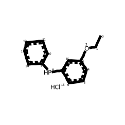 CCOc1cccc(Pc2ccccc2)c1.Cl